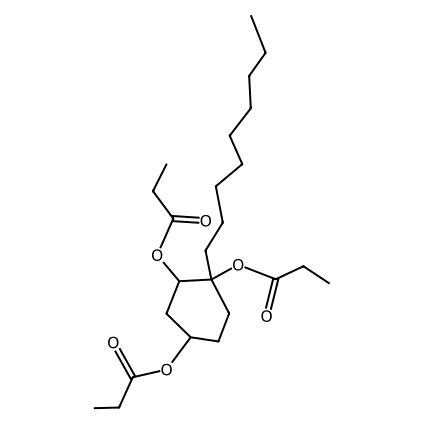 CCCCCCCCCC1(OC(=O)CC)CCC(OC(=O)CC)CC1OC(=O)CC